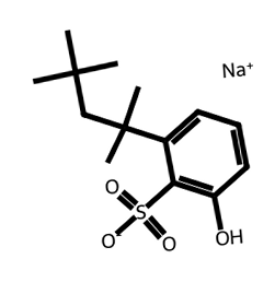 CC(C)(C)CC(C)(C)c1cccc(O)c1S(=O)(=O)[O-].[Na+]